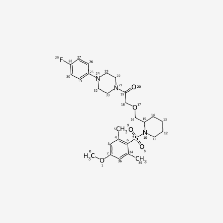 COc1cc(C)c(S(=O)(=O)N2CCCCC2COCC(=O)N2CCN(c3ccc(F)cc3)CC2)c(C)c1